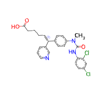 CN(C(=O)Nc1ccc(Cl)cc1Cl)c1ccc(/C(=C/CCCC(=O)O)c2cccnc2)cc1